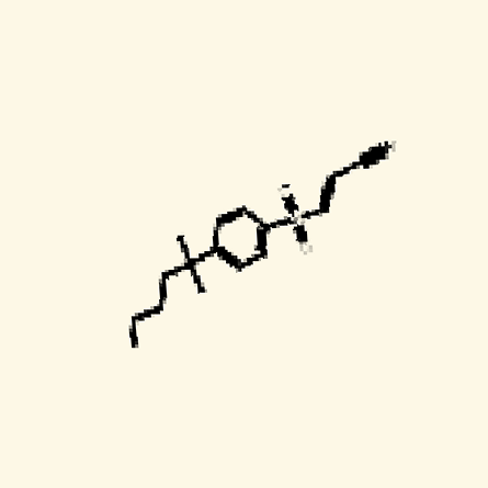 CCCCC(C)(C)c1ccc(S(=O)(=O)/C=C/C#N)cc1